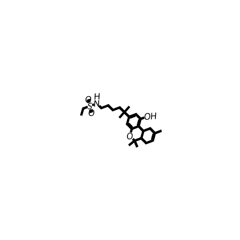 CCS(=O)(=O)NCCCCC(C)(C)c1cc(O)c2c(c1)OC(C)(C)C1CC=C(C)CC21